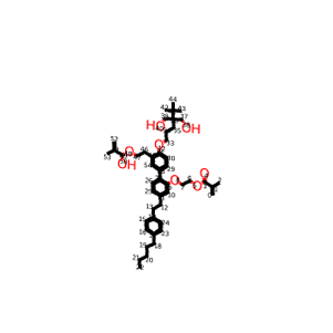 C=C(C)C(=O)OCCOc1cc(CCc2ccc(CCCCC)cc2)ccc1-c1ccc(OCCCC(CO)(CO)C(C)(C)C)c(CCOC(O)C(=C)C)c1